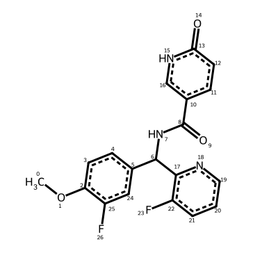 COc1ccc(C(NC(=O)c2ccc(=O)[nH]c2)c2ncccc2F)cc1F